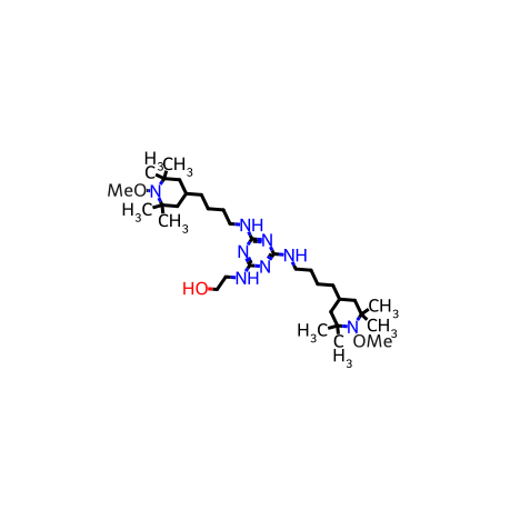 CON1C(C)(C)CC(CCCCNc2nc(NCCO)nc(NCCCCC3CC(C)(C)N(OC)C(C)(C)C3)n2)CC1(C)C